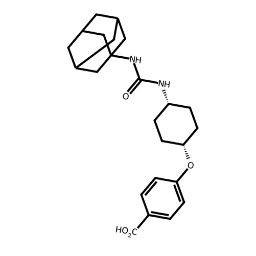 O=C(NC12CC3CC(CC(C3)C1)C2)N[C@H]1CC[C@@H](Oc2ccc(C(=O)O)cc2)CC1